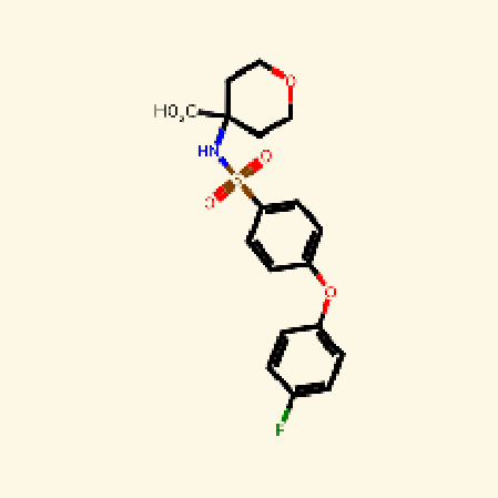 O=C(O)C1(NS(=O)(=O)c2ccc(Oc3ccc(F)cc3)cc2)CCOCC1